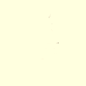 OCC12COC(c3ccc(Cl)c(Cc4ccc(OC5COC5)cc4)c3)(O1)C(OCc1ccccc1)[C@@H](OCc1ccccc1)[C@@H]2OCc1ccccc1